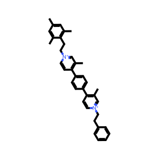 Cc1cc(C)c(CC[n+]2ccc(-c3ccc(-c4cc[n+](CCc5ccccc5)cc4C)cc3)c(C)c2)c(C)c1